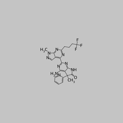 Cn1ncc2c(-c3nc(N)c4c(n3)NC(=O)C4(C)c3ccccn3)nc(CCCC(F)(F)F)nc21